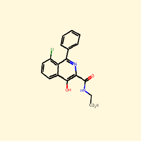 O=C(O)CNC(=O)c1nc(-c2ccccc2)c2c(Cl)cccc2c1O